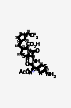 CC(=O)O/N=C(\C(=O)N[C@@H]1C(=O)N2C(C(=O)O)=C(C=C3CCN(CC(F)(F)F)C3)CS[C@H]12)c1csc(N)n1